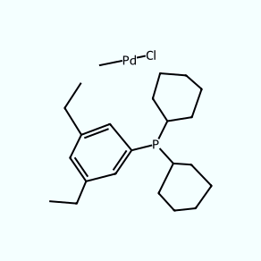 CCc1cc(CC)cc(P(C2CCCCC2)C2CCCCC2)c1.[CH3][Pd][Cl]